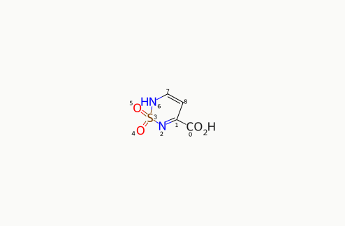 O=C(O)C1=NS(=O)(=O)NC=C1